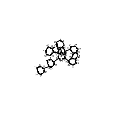 C1=CCC(c2nc(-c3ccc(-c4ccccc4)cc3)nc(-c3cccc4oc5cccc(-c6ccc7c(c6)oc6ccccc67)c5c34)n2)C=C1